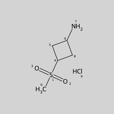 CS(=O)(=O)C1CC(N)C1.Cl